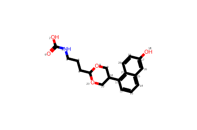 O=C(O)NCCCC1OCC(c2cccc3cc(O)ccc23)CO1